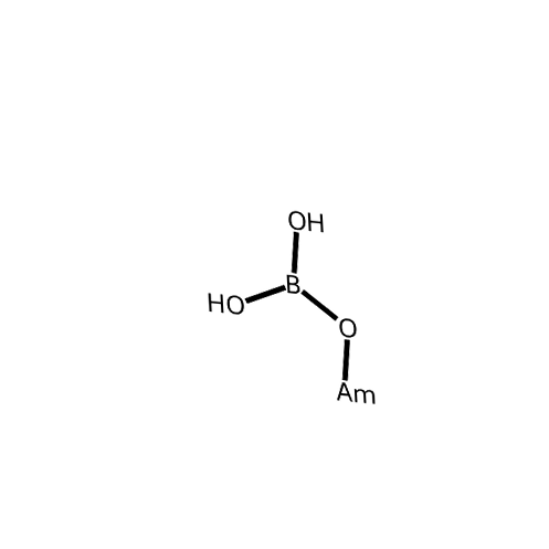 OB(O)[O][Am]